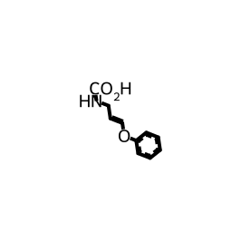 O=C(O)NCC=COc1ccccc1